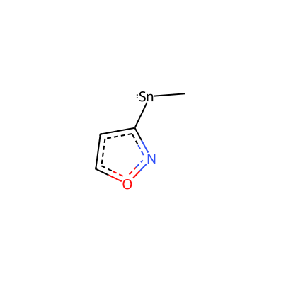 [CH3][Sn][c]1ccon1